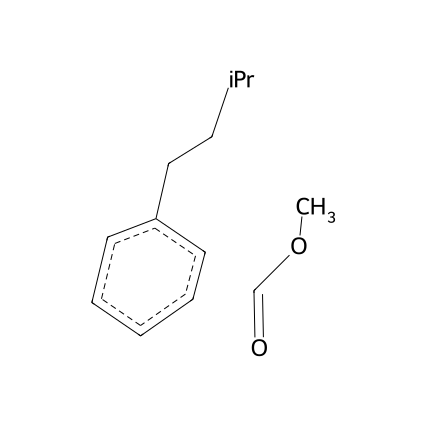 CC(C)CCc1ccccc1.COC=O